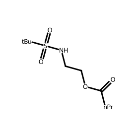 CCCC(=O)OCCNS(=O)(=O)C(C)(C)C